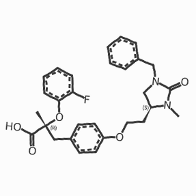 CN1C(=O)N(Cc2ccccc2)C[C@@H]1CCOc1ccc(C[C@@](C)(Oc2ccccc2F)C(=O)O)cc1